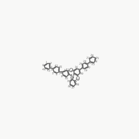 c1ccc(-c2ccc(-c3ccc4c(c3)Oc3cc(-c5ccc(-c6ccccc6)cc5)cc5c3N4c3ccccc3O5)cc2)cc1